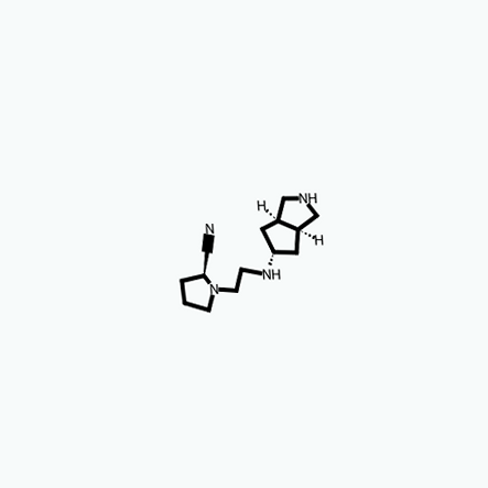 N#C[C@@H]1CCCN1CCN[C@@H]1C[C@H]2CNC[C@H]2C1